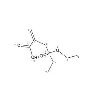 C=C(CP(=O)(CC)OCC)C(=O)O